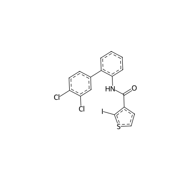 O=C(Nc1ccccc1-c1ccc(Cl)c(Cl)c1)c1ccsc1I